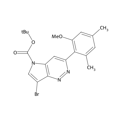 COc1cc(C)cc(C)c1-c1cc2c(nn1)c(Br)cn2C(=O)OC(C)(C)C